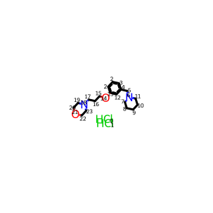 Cl.Cl.c1cc(CN2CCCCC2)cc(OCCCN2CCOCC2)c1